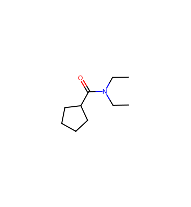 CCN(CC)C(=O)C1CCCC1